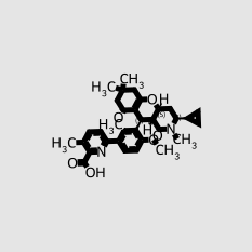 COc1ccc(-c2ccc(C)c(C(=O)O)n2)c(C)c1[C@H]1C2=C(CC(C)(C)CC2=O)O[C@H]2C[C@@H](C3CC3)N(C)C(=O)[C@@H]21